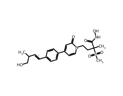 CC(/C=C/c1ccc(-c2ccn(CCC(C)(C(=O)NO)S(C)(=O)=O)c(=O)c2)cc1)CO